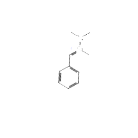 CN(C)/[Si](C)=C/c1ccccc1